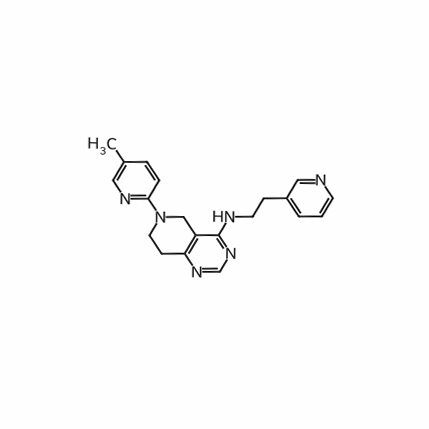 Cc1ccc(N2CCc3ncnc(NCCc4cccnc4)c3C2)nc1